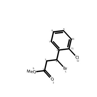 COC(=O)CC(Br)c1ccccc1Cl